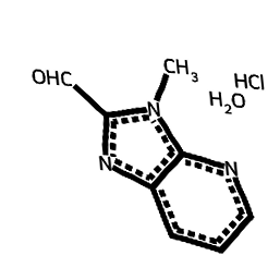 Cl.Cn1c(C=O)nc2cccnc21.O